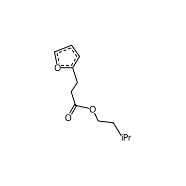 CC(C)CCOC(=O)CCc1ccco1